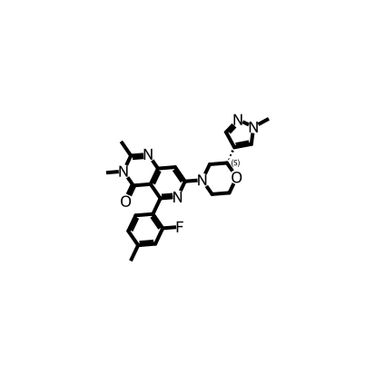 Cc1ccc(-c2nc(N3CCO[C@@H](c4cnn(C)c4)C3)cc3nc(C)n(C)c(=O)c23)c(F)c1